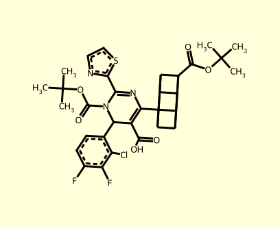 CC(C)(C)OC(=O)N1C(c2nccs2)=NC(C23C4C5C2C2C3C4C52C(=O)OC(C)(C)C)=C(C(=O)O)C1c1ccc(F)c(F)c1Cl